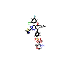 COC(=O)C1=C(Cc2ccc(S(=O)(=O)OC(=O)[C@@H]3COCCN3)cc2)N=C(c2nccs2)N[C@H]1c1ccc(F)cc1Cl